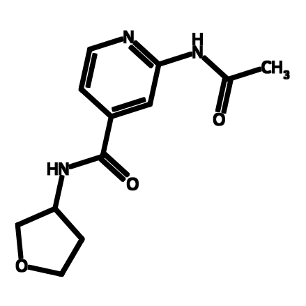 CC(=O)Nc1cc(C(=O)NC2CCOC2)ccn1